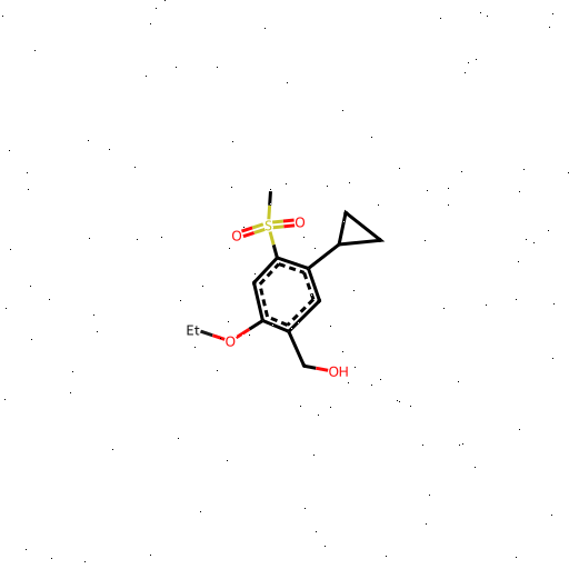 CCOc1cc(S(C)(=O)=O)c(C2CC2)cc1CO